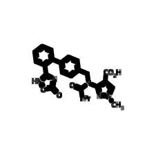 CCCC(=O)N(Cc1ccc(-c2ccccc2-c2nc(=O)o[nH]2)cc1)c1nn(C)cc1C(=O)O